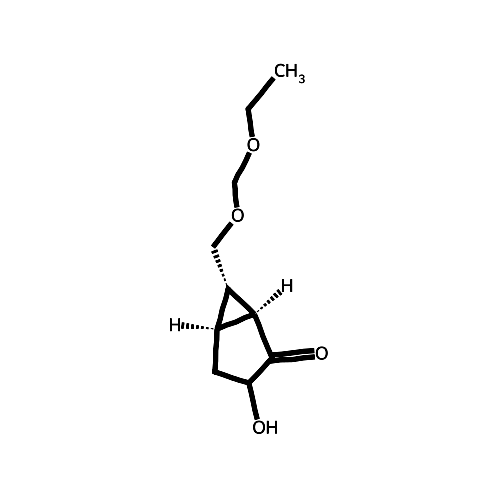 CCOCOC[C@H]1[C@@H]2CC(O)C(=O)[C@H]12